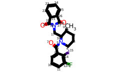 CC1CCCN(C(=O)c2cccc(F)c2I)C1CN1C(=O)c2ccccc2C1=O